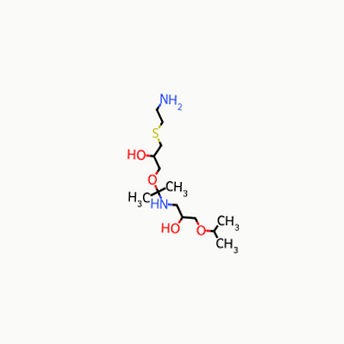 CC(C)OCC(O)CNC(C)(C)OCC(O)CSCCN